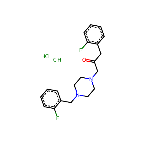 Cl.Cl.O=C(Cc1ccccc1F)CN1CCN(Cc2ccccc2F)CC1